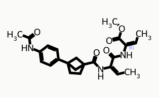 CC=C(NC(=O)C12CCC(c3ccc(NC(C)=O)cc3)(C1)C2)C(=O)N/C(=C/C)C(=O)OC